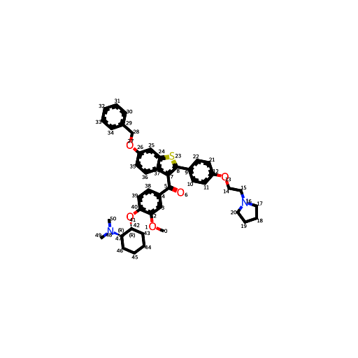 COc1cc(C(=O)c2c(-c3ccc(OCCN4CCCC4)cc3)sc3cc(OCc4ccccc4)ccc23)ccc1O[C@@H]1CCCC[C@H]1N(C)C